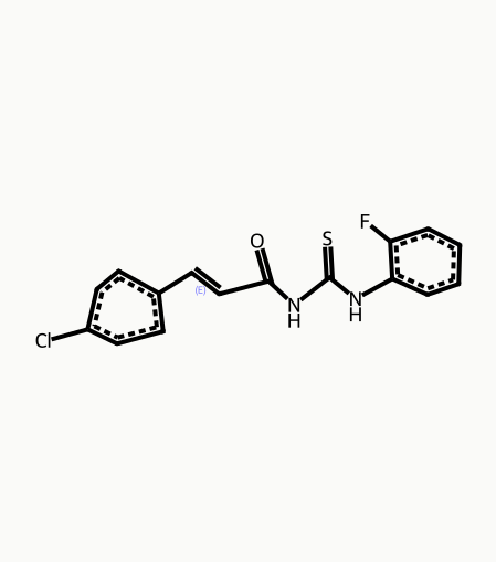 O=C(/C=C/c1ccc(Cl)cc1)NC(=S)Nc1ccccc1F